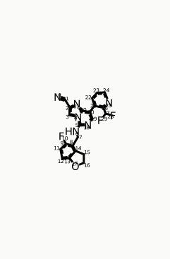 N#Cc1cn2c(NCc3c(F)ccc4c3CCO4)ncc(-c3cccnc3C(F)F)c2n1